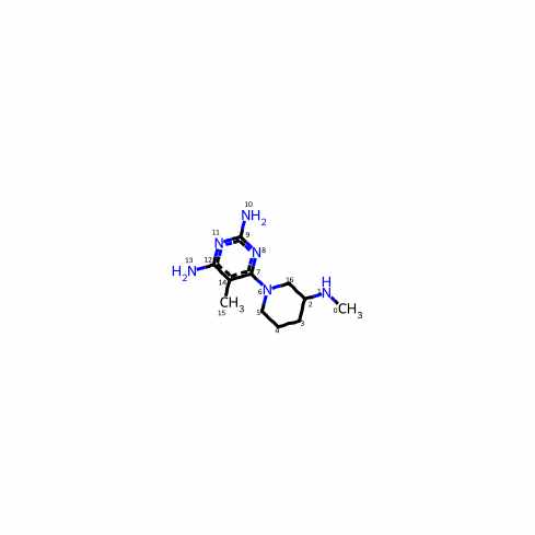 CNC1CCCN(c2nc(N)nc(N)c2C)C1